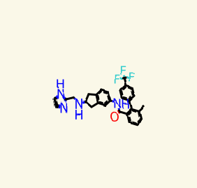 Cc1cccc(C(=O)Nc2ccc3c(c2)CC(NCc2ncc[nH]2)C3)c1-c1ccc(C(F)(F)F)cc1